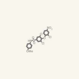 COc1ccc(NS(=O)(=O)c2cc(Cl)c(Oc3ccc([N+](=O)[O-])cc3Cl)c(Cl)c2)cc1